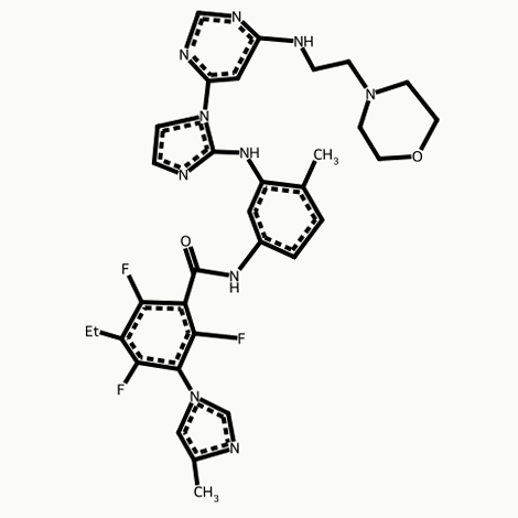 CCc1c(F)c(C(=O)Nc2ccc(C)c(Nc3nccn3-c3cc(NCCN4CCOCC4)ncn3)c2)c(F)c(-n2cnc(C)c2)c1F